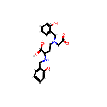 O=C(O)CN(CCC(NCc1ccccc1O)C(=O)O)Cc1ccccc1O